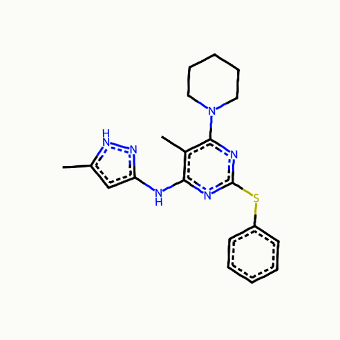 Cc1cc(Nc2nc(Sc3ccccc3)nc(N3CCCCC3)c2C)n[nH]1